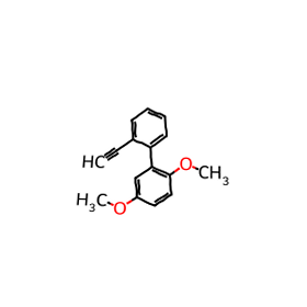 C#Cc1ccccc1-c1cc(OC)ccc1OC